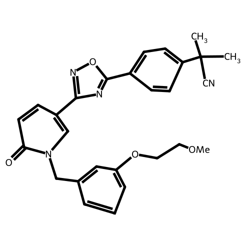 COCCOc1cccc(Cn2cc(-c3noc(-c4ccc(C(C)(C)C#N)cc4)n3)ccc2=O)c1